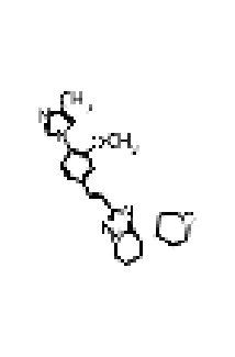 COc1cc(/C=C/c2nc3n(n2)CCC[C@H]3C2CCOCC2)ccc1-n1cnc(C)c1